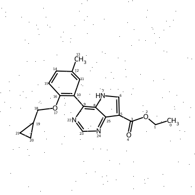 CCOC(=O)c1c[nH]c2c(-c3cc(C)ccc3OCC3CC3)ncnc12